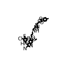 CCOc1cc2ncc(C#N)c(Nc3ccc(F)c(Cl)c3)c2cc1NC(=O)C=CCNCc1cn(CCOS(=O)(=O)c2ccc(C)cc2)nn1